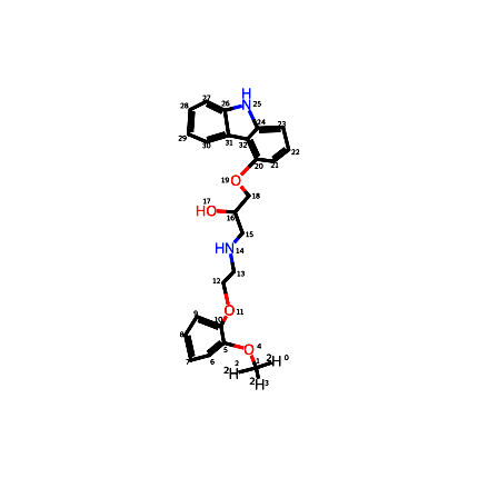 [2H]C([2H])([2H])Oc1ccccc1OCCNCC(O)COc1cccc2[nH]c3ccccc3c12